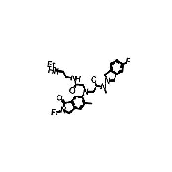 CCNCCNC(=O)CN(CC(=O)N(C)N1Cc2ccc(F)cc2C1)c1cc2c(cc1C)CN(CC)C2=O